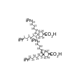 CC(C)CCCCCCC1(CCCCCCC(C)C)CCC(C(=O)O)CC1.CC(C)CCCCCCC1(CCCCCCC(C)C)CCC(C(=O)O)CC1